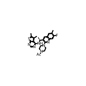 CC(=O)N1CCN(c2nc3cc(F)c(C)cc3cc2[C@H](C)Nc2ncnc3sc(C)c(C)c23)CC1